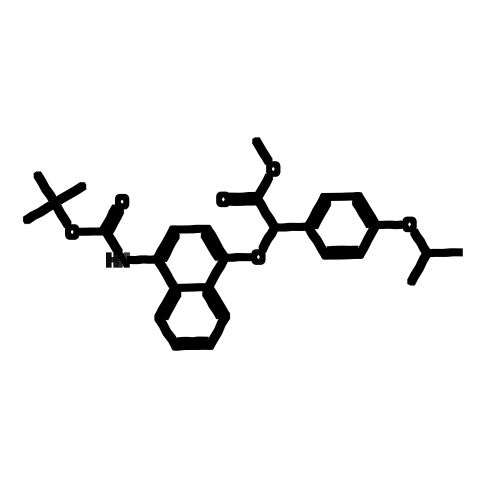 COC(=O)C(Oc1ccc(NC(=O)OC(C)(C)C)c2ccccc12)c1ccc(OC(C)C)cc1